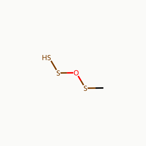 CSOSS